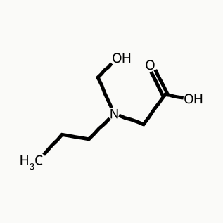 CCCN(CO)CC(=O)O